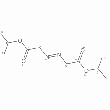 CC(C)OC(=O)CN=NCC(=O)OC(C)C